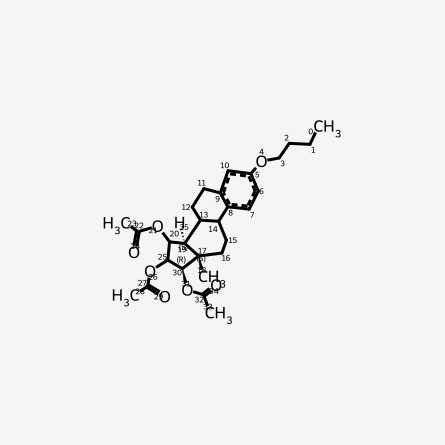 CCCCOc1ccc2c(c1)CCC1C2CC[C@@]2(C)[C@H]1C(OC(C)=O)C(OC(C)=O)[C@@H]2OC(C)=O